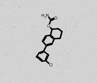 NC(=O)OC1CCCc2cc(-c3cccc(Cl)c3)ccc21